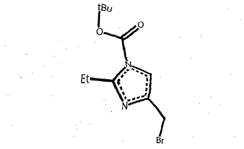 CCc1nc(CBr)cn1C(=O)OC(C)(C)C